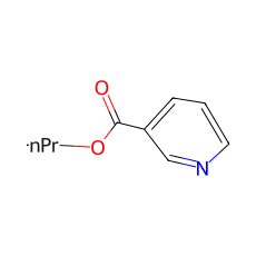 CC[CH]OC(=O)c1cccnc1